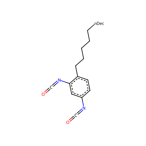 CCCCCCCCCCCCCCCc1ccc(N=C=O)cc1N=C=O